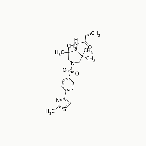 C=CC(=O)NC1C(C)(C)CN(S(=O)(=O)c2ccc(-c3csc(C)n3)cc2)CC1(C)C